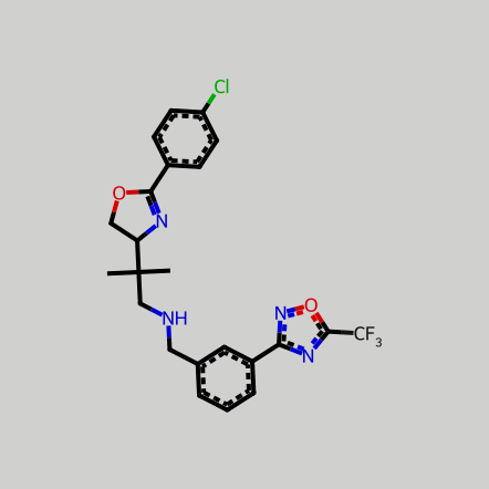 CC(C)(CNCc1cccc(-c2noc(C(F)(F)F)n2)c1)C1COC(c2ccc(Cl)cc2)=N1